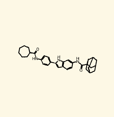 O=C(Nc1ccc(-c2cc3ccc(NC(=O)C45CC6CC(CC(C6)C4)C5)cc3[nH]2)cc1)C1CCCCCC1